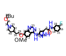 COc1cc2c(Nc3cc(CC(=O)Nc4cccc(F)c4)[nH]n3)ncnc2cc1OCCC1CCN(CCOC(C)(C)C)CC1